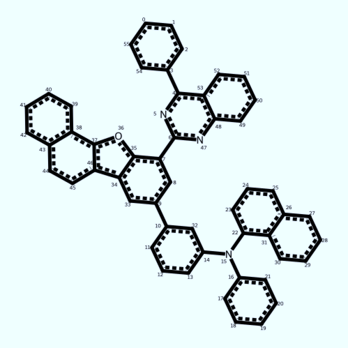 c1ccc(-c2nc(-c3cc(-c4cccc(N(c5ccccc5)c5cccc6ccccc56)c4)cc4c3oc3c5ccccc5ccc43)nc3ccccc23)cc1